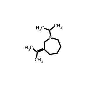 CC(C)=C1CCCCN(C(C)C)C1